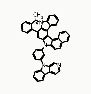 C[C@H]1c2ccccc2-c2cc3c(c4c5ccccc5ccc4n3-c3cccc(-n4c5ccccc5c5ccncc54)c3)c3c4ccccc4n1c23